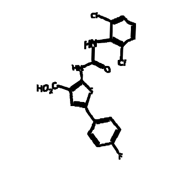 O=C(Nc1sc(-c2ccc(F)cc2)cc1C(=O)O)Nc1c(Cl)cccc1Cl